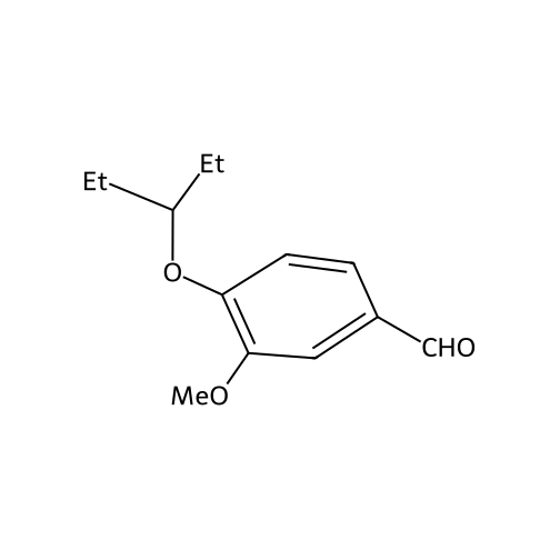 CCC(CC)Oc1ccc(C=O)cc1OC